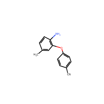 Cc1ccc(N)c(Oc2ccc(C#N)cc2)c1